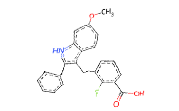 COc1ccc2c(Cc3cccc(C(=O)O)c3F)c(-c3ccccc3)[nH]c2c1